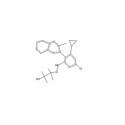 Cc1cc2ccccc2cc1-c1c(BOC(C)(C)C(C)(C)O)cc(Cl)cc1C1CC1